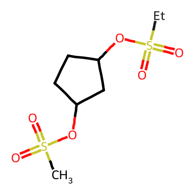 CCS(=O)(=O)OC1CCC(OS(C)(=O)=O)C1